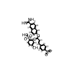 Cc1ccc(S(=O)(=O)O)cc1.N=C(N)c1ccc2cc(OC(=O)C=Cc3ccc([N+](=O)[O-])cc3)ccc2c1